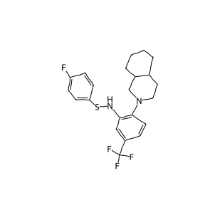 Fc1ccc(SNc2cc(C(F)(F)F)ccc2N2CCC3CCCCC3C2)cc1